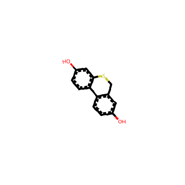 Oc1ccc2c(c1)CSc1cc(O)ccc1-2